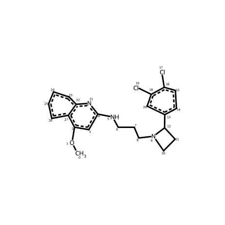 COc1cc(NCCCN2CCC2c2ccc(Cl)c(Cl)c2)nc2ccccc12